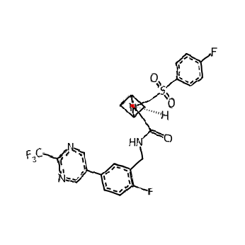 O=C(NCc1cc(-c2cnc(C(F)(F)F)nc2)ccc1F)[C@@H]1C2CC(C2)N1S(=O)(=O)c1ccc(F)cc1